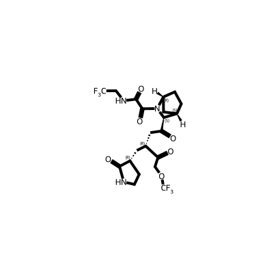 O=C(NCC(F)(F)F)C(=O)N1[C@@H]2CC[C@@H](C2)[C@H]1C(=O)C[C@@H](C[C@@H]1CCNC1=O)C(=O)COC(F)(F)F